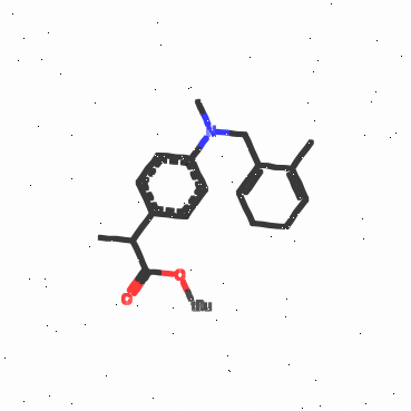 CC1=CCCC=C1CN(C)c1ccc(C(C)C(=O)OC(C)(C)C)cc1